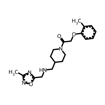 Cc1noc(CNCC2CCN(C(=O)COc3ccccc3C)CC2)n1